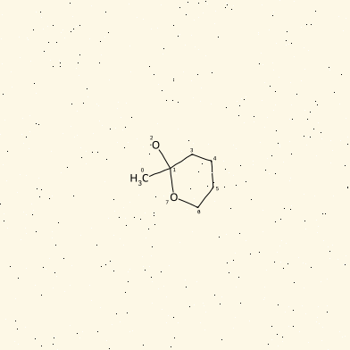 CC1([O])CCCCO1